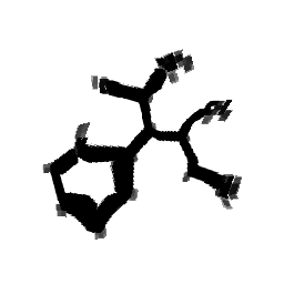 CC(CS)C(C(N)=O)c1ccccn1